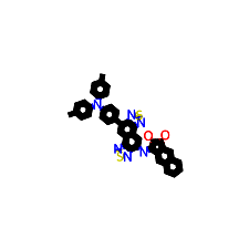 Cc1ccc(N(c2ccc(C)cc2)c2ccc(-c3cc4c(cc(/N=c5\c(=O)c(=O)c6cc7ccccc7cc56)c5nsnc54)c4nsnc34)cc2)cc1